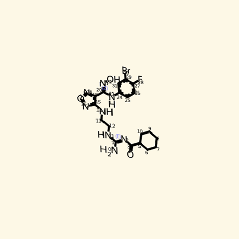 N/C(=N\C(=O)C1CCCCC1)NCCNc1nonc1/C(=N/O)Nc1ccc(F)c(Br)c1